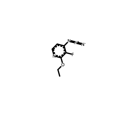 CCOc1nccc(N=[N+]=[N-])c1F